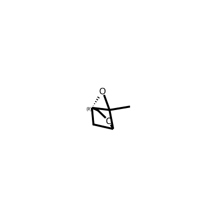 CC12O[C@@]13CCC2C3